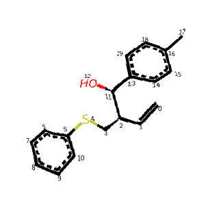 C=C[C@@H](CSc1ccccc1)[C@@H](O)c1ccc(C)cc1